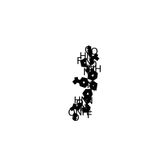 C=C(C)c1ccc(N2[C@@H](c3ccc4[nH]c([C@@H]5C[C@H](F)CN5C(=O)[C@@H](NC(=O)OC)C(C)C)nc4c3)CC[C@@H]2c2ccc3[nH]c([C@@H]4C[C@H](F)CN4C(=O)[C@@H](NC(=O)OC)C(C)C)nc3c2)cc1